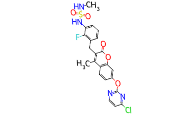 CNS(=O)(=O)Nc1cccc(Cc2c(C)c3ccc(Oc4nccc(Cl)n4)cc3oc2=O)c1F